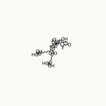 CC1(C)O[C@@H]2CC3C4C[C@H](F)C5=CC(=O)C=CC5(C)[C@@]4(F)[C@@H](O)C[C@]3(C)[C@]2(C(=O)COC(=O)CC(NC(=O)CCCCCON(O)O)C(=O)OCCCCON(O)O)O1